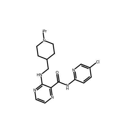 CC(C)N1CCC(CNc2nccnc2C(=O)Nc2ccc(Cl)cn2)CC1